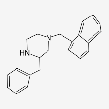 c1ccc(CC2CN(Cc3cccc4ccccc34)CCN2)cc1